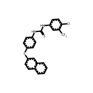 FC(F)(F)c1cc(NC(=S)Nc2ccc(Sc3ccc4ccccc4c3)cc2)ccc1Cl